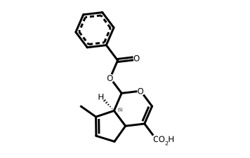 CC1=CCC2C(C(=O)O)=COC(OC(=O)c3ccccc3)[C@H]12